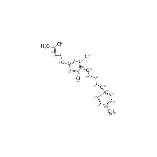 C/C(Cl)=C/COc1cc(Cl)c(OCCCOc2ccc(C)cn2)c(Cl)c1